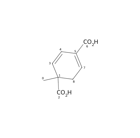 CC1(C(=O)O)C=CC(C(=O)O)=CC1